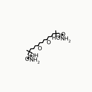 CC(C)(CCCC(=O)CCCC(=O)CCCC(C)(C)CP(N)(=O)O)CP(N)(=O)O